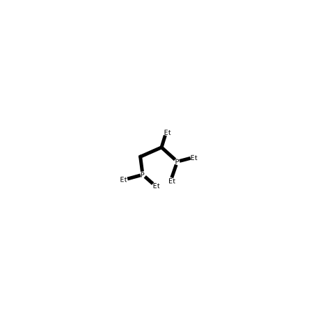 CCC(CP(CC)CC)P(CC)CC